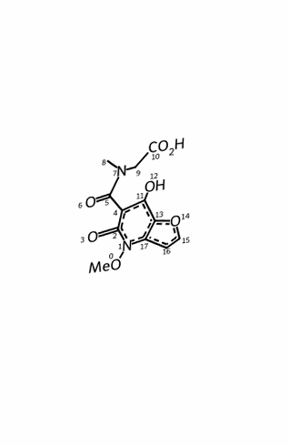 COn1c(=O)c(C(=O)N(C)CC(=O)O)c(O)c2occc21